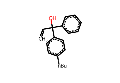 C=CC(O)(c1ccccc1)c1ccc(CCCC)cc1